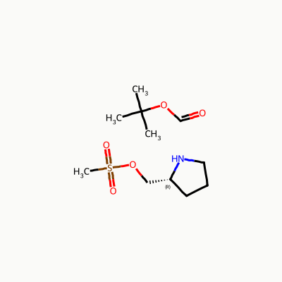 CC(C)(C)OC=O.CS(=O)(=O)OC[C@H]1CCCN1